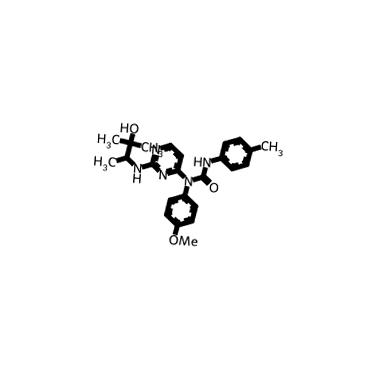 COc1ccc(N(C(=O)Nc2ccc(C)cc2)c2ccnc(NC(C)C(C)(C)O)n2)cc1